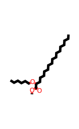 CCCCCCCCCCCCCCCCC(OCCCCCC)C(=O)OC